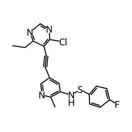 CCc1ncnc(Cl)c1C#Cc1cnc(C)c(NSc2ccc(F)cc2)c1